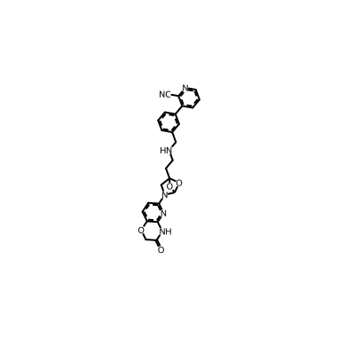 N#Cc1ncccc1-c1cccc(CNCCC23CN(c4ccc5c(n4)NC(=O)CO5)C(O2)O3)c1